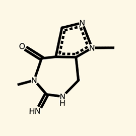 CN1C(=N)NCc2c(cnn2C)C1=O